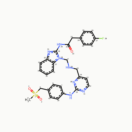 CS(=O)(=O)Cc1ccc(Nc2nccc(CNCn3c(NC(=O)Cc4ccc(F)cc4)nc4ccccc43)n2)cc1